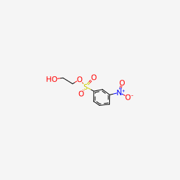 O=[N+]([O-])c1cccc(S(=O)(=O)OCCO)c1